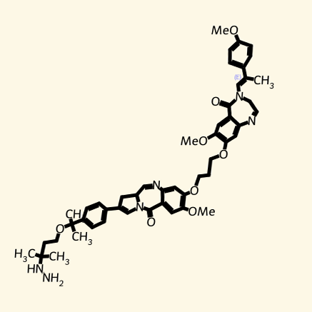 COc1ccc(/C(C)=C/N2CC=Nc3cc(OCCCOc4cc5c(cc4OC)C(=O)N4C=C(c6ccc(C(C)(C)OCCC(C)(C)NN)cc6)CC4C=N5)c(OC)cc3C2=O)cc1